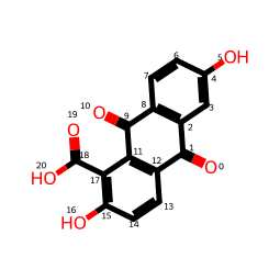 O=C1c2cc(O)ccc2C(=O)c2c1ccc(O)c2C(=O)O